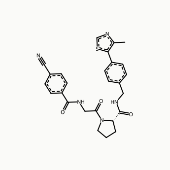 Cc1ncsc1-c1ccc(CNC(=O)[C@@H]2CCCN2C(=O)CNC(=O)c2ccc(C#N)cc2)cc1